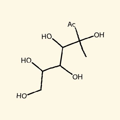 CC(=O)C(C)(O)C(O)C(O)C(O)CO